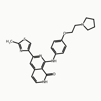 Cc1nc(-c2cc3cc[nH]c(=O)c3c(Nc3ccc(OCCN4CCCC4)cc3)n2)cs1